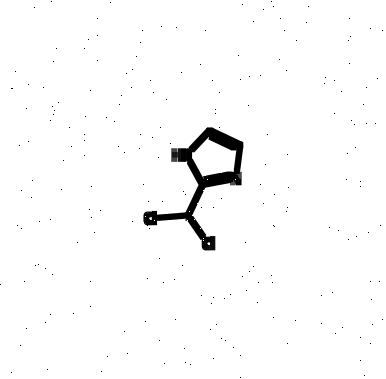 Cl[C](Cl)c1ncc[nH]1